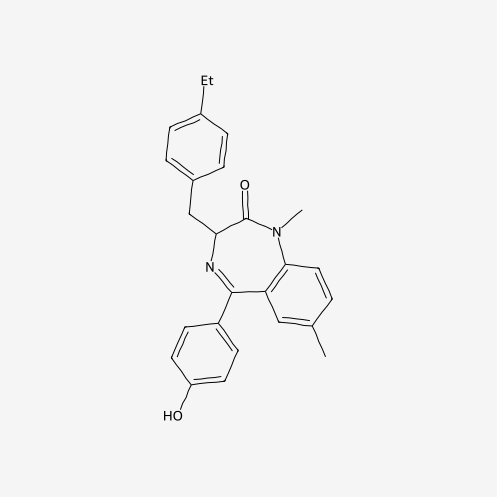 CCc1ccc(CC2N=C(c3ccc(O)cc3)c3cc(C)ccc3N(C)C2=O)cc1